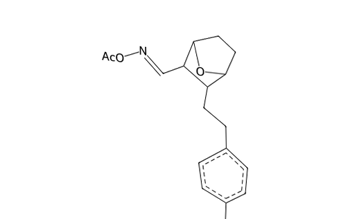 CC(=O)ON=CC1C2CCC(O2)C1CCc1ccc(C(=O)O)cc1